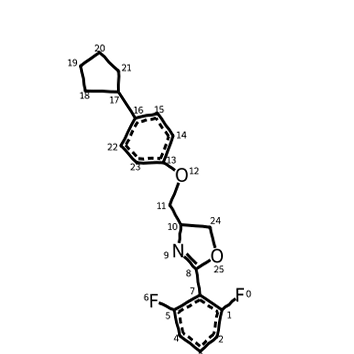 Fc1cccc(F)c1C1=NC(COc2ccc(C3CCCC3)cc2)CO1